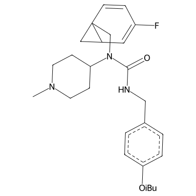 CC(C)COc1ccc(CNC(=O)N(CC23C=CC(F)=CC2C3)C2CCN(C)CC2)cc1